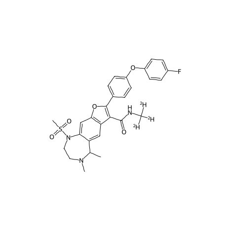 [2H]C([2H])([2H])NC(=O)c1c(-c2ccc(Oc3ccc(F)cc3)cc2)oc2cc3c(cc12)C(C)N(C)CCN3S(C)(=O)=O